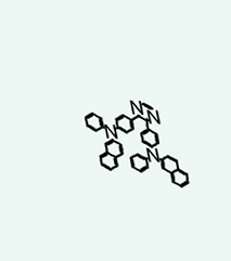 c1ccc(N(c2ccc(-c3nccnc3-c3ccc(N(c4ccccc4)c4ccc5ccccc5c4)cc3)cc2)c2ccc3ccccc3c2)cc1